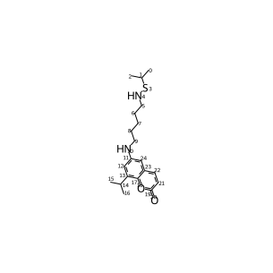 CC(C)SNCCCCCNc1cc(C(C)C)c2oc(=O)ccc2c1